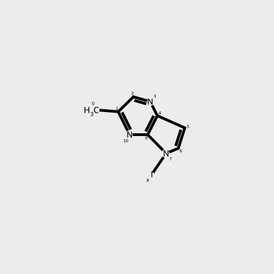 Cc1cnc2ccn(I)c2n1